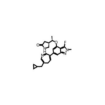 C[C@@H](Oc1cc(C2=CCC(CC3CC3)=CN=C2)cc2nn(C)c(F)c12)[C@H]1CNC(=O)C1